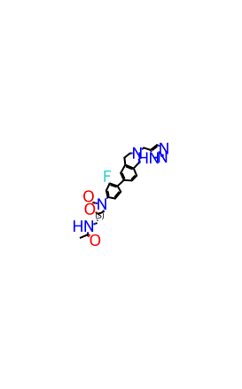 CC(=O)NC[C@H]1CN(c2ccc(-c3ccc4c(c3)CCN(Cc3cnn[nH]3)C4)c(F)c2)C(=O)O1